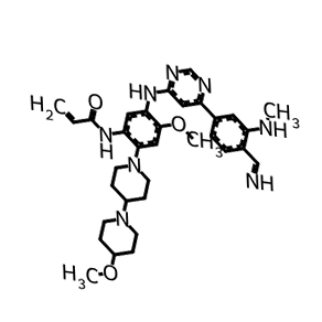 C=CC(=O)Nc1cc(Nc2cc(-c3ccc(C=N)c(NC)c3)ncn2)c(OC)cc1N1CCC(N2CCC(OC)CC2)CC1